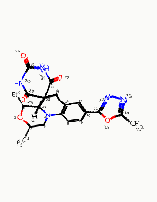 CC[C@@H]1O[C@H](C(F)(F)F)CN2c3ccc(-c4nnc(C(F)(F)F)o4)cc3CC3(C(=O)NC(=O)NC3=O)[C@@H]12